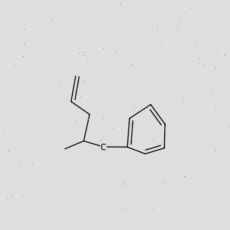 C=CCC(C)Cc1ccccc1